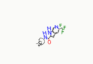 C[Si]1(C)CCC(NC(=O)c2cc3cc(C(F)(F)F)ncc3[nH]2)CC1